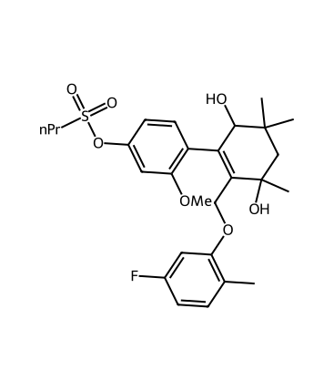 CCCS(=O)(=O)Oc1ccc(C2=C(COc3cc(F)ccc3C)C(C)(O)CC(C)(C)C2O)c(OC)c1